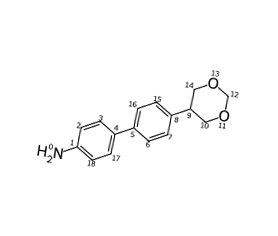 Nc1ccc(-c2ccc(C3COCOC3)cc2)cc1